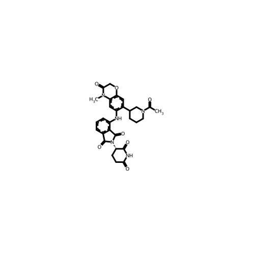 CC(=O)N1CCCC(c2cc3c(cc2Nc2cccc4c2C(=O)N([C@H]2CCC(=O)NC2=O)C4=O)N(C)C(=O)CO3)C1